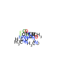 CCNC(=O)c1cc(Nc2nc(-c3cc4c(nc3F)C(C)(C)C(=O)N4C3CC(C)(N4CCCCC4)C3)cc3ncn(C(C)C)c23)c(F)c(F)c1Cl